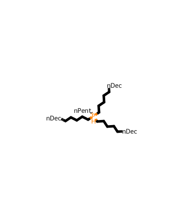 CCCCCCCCCCCCCCC[PH](CCCCC)(CCCCCCCCCCCCCCC)CCCCCCCCCCCCCCC